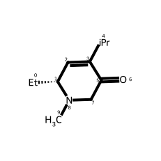 CC[C@@H]1C=C(C(C)C)C(=O)CN1C